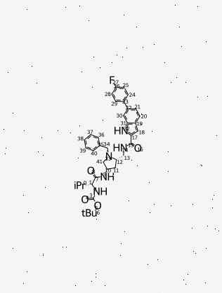 CC(C)[C@@H](NC(=O)OC(C)(C)C)C(=O)N[C@H]1C[C@@H](CNC(=O)c2cc3ccc(-c4ccc(F)cc4)cc3[nH]2)N(Cc2ccccc2)C1